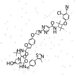 Cc1ncsc1-c1ccc([C@H](C)NC(=O)[C@@H]2C[C@@H](O)CN2C(=O)C(NC(=O)c2cc3ccc(OC4CN(c5ncc(C(=O)N[C@H]6C(C)(C)[C@H](Oc7ccc(C#N)c(Cl)c7)C6(C)C)cn5)C4)cc3o2)C(C)(C)C)cc1